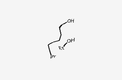 CC(C)CCCO.CCO